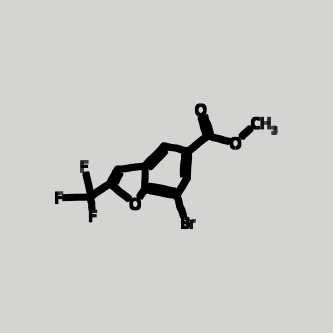 COC(=O)c1cc(Br)c2oc(C(F)(F)F)cc2c1